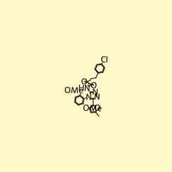 COc1cccc(OC)c1-n1c(NS(=O)(=O)CCc2ccc(Cl)cc2)nnc1-c1ccc(C)o1